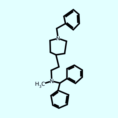 CN(CCC1CCN(Cc2ccccc2)CC1)C(c1ccccc1)c1ccccc1